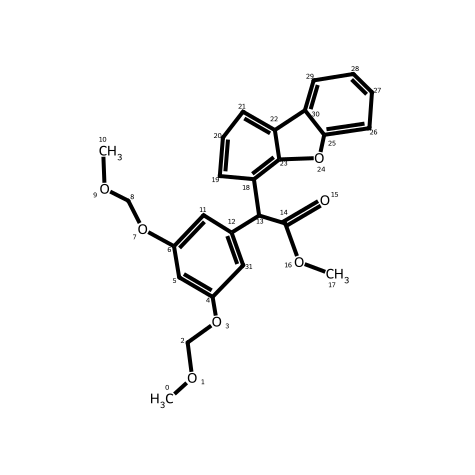 COCOc1cc(OCOC)cc(C(C(=O)OC)c2cccc3c2oc2ccccc23)c1